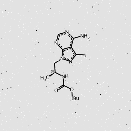 C[C@@H](Cn1nc(I)c2c(N)ncnc21)NC(=O)OC(C)(C)C